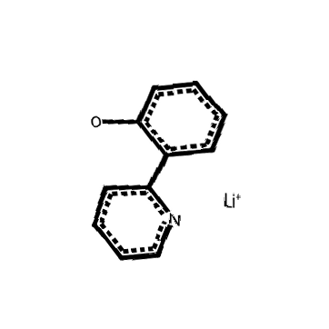 [Li+].[O-]c1ccccc1-c1ccccn1